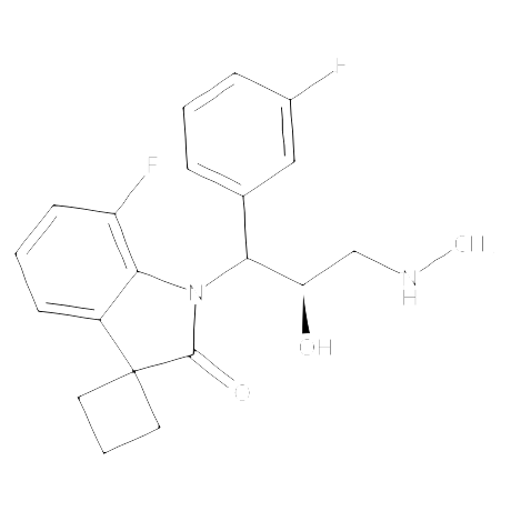 CNC[C@@H](O)C(c1cccc(F)c1)N1C(=O)C2(CCC2)c2cccc(F)c21